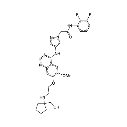 COc1cc2c(Nc3cnn(CC(=O)Nc4cccc(F)c4F)c3)ncnc2cc1OCCNC1(CO)CCCC1